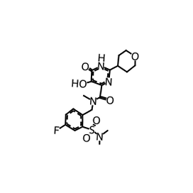 CN(Cc1ccc(F)cc1S(=O)(=O)N(C)C)C(=O)c1nc(C2CCOCC2)[nH]c(=O)c1O